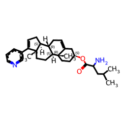 CC(C)CC(N)C(=O)O[C@H]1CC[C@@]2(C)C(=CC[C@@H]3[C@@H]2CC[C@]2(C)C(c4cccnc4)=CC[C@@H]32)C1